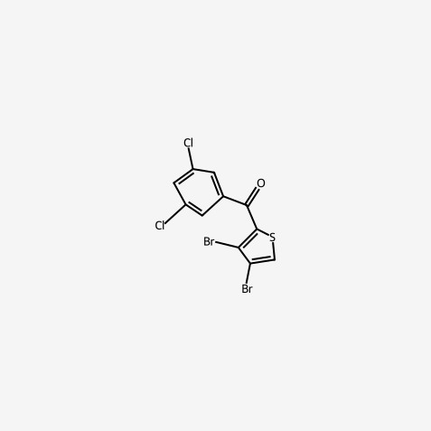 O=C(c1cc(Cl)cc(Cl)c1)c1scc(Br)c1Br